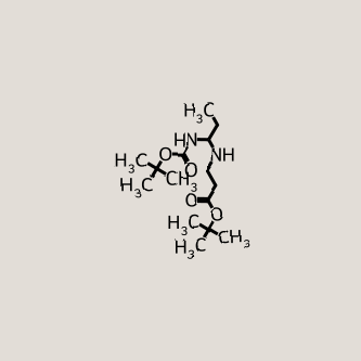 CCC(NCCC(=O)OC(C)(C)C)NC(=O)OC(C)(C)C